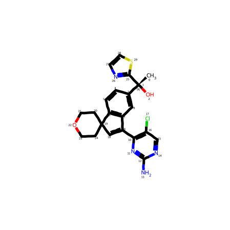 C[C@@](O)(c1ccc2c(c1)C(c1nc(N)ncc1Cl)=CC21CCOCC1)c1nccs1